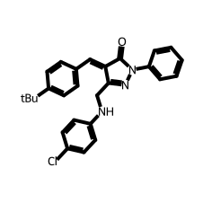 CC(C)(C)c1ccc(C=C2C(=O)N(c3ccccc3)N=C2CNc2ccc(Cl)cc2)cc1